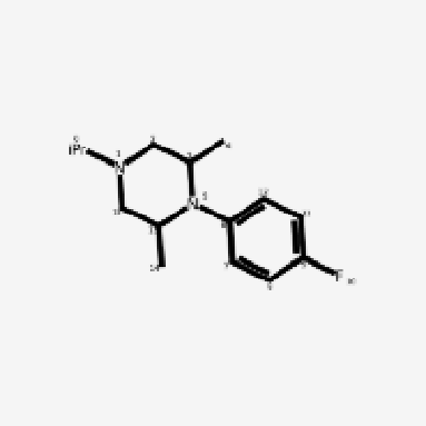 CC(C)N1CC(C)N(c2ccc(F)cc2)C(C)C1